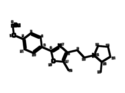 CCCCOc1ccc(-c2nc(CCN3CCCC3C)c(C)o2)cc1